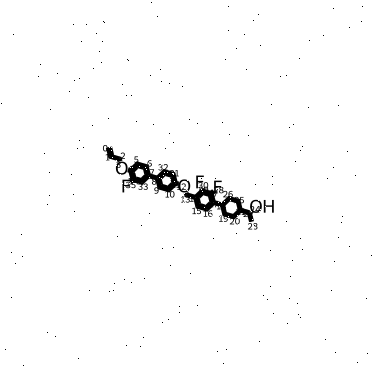 C=CCOc1ccc(-c2ccc(OCc3ccc(C4CCC(C(C)O)CC4)c(F)c3F)cc2)cc1F